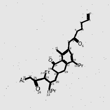 C=CCCCC(=O)Cc1cc(C(C)C)c2c(c1C)C(=O)CC(CC(CCC)C(CC)C(=O)CC(C)=O)C2